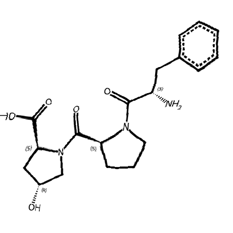 N[C@@H](Cc1ccccc1)C(=O)N1CCC[C@H]1C(=O)N1C[C@H](O)C[C@H]1C(=O)O